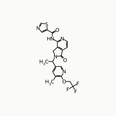 Cc1cc(C(C)N2Cc3c(ccnc3NC(=O)c3cncs3)C2=O)cnc1OCC(F)(F)F